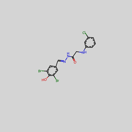 O=C(CNc1cccc(Cl)c1)NN=Cc1cc(Br)c(O)c(Br)c1